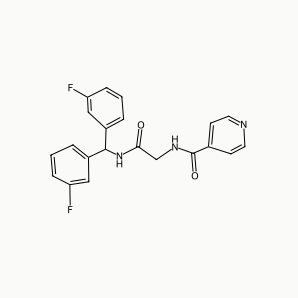 O=C(CNC(=O)c1ccncc1)NC(c1cccc(F)c1)c1cccc(F)c1